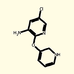 Nc1cc(Cl)cnc1OC1=CC=CNC1